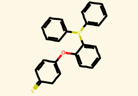 S=C1C=CC(Oc2ccccc2[S+](c2ccccc2)c2ccccc2)=CC1